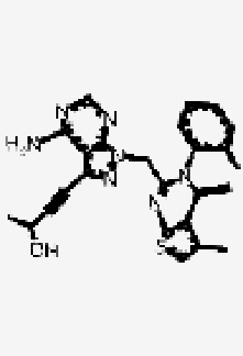 C=C1c2c(C)csc2N=C(Cn2nc(C#CC(C)O)c3c(N)ncnc32)N1c1ccccc1C